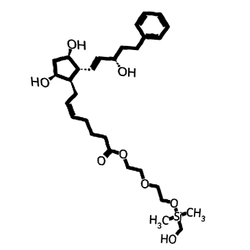 C[Si](C)(CO)OCCOCCOC(=O)CCC/C=C\C[C@@H]1[C@@H](/C=C/[C@@H](O)CCc2ccccc2)[C@H](O)C[C@@H]1O